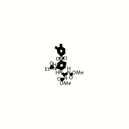 CCC(=O)Nc1cc(S(=O)(=O)c2ccc(C)c(C)c2)ccc1NC(=NC(=O)OC)NC(=O)OC